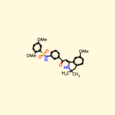 COc1ccc2c(c1)C(=CC(=O)c1cccc(NS(=O)(=O)c3cc(OC)ccc3OC)c1)NC(C)(C)C2